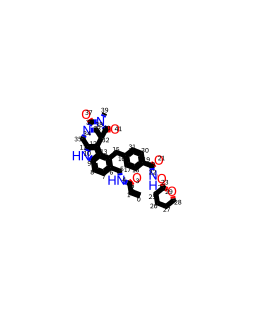 C=CC(=O)NCc1ccc2[nH]c3c(c2c1Cc1ccc(C(=O)NOC2CCCCO2)cc1)C1CN(C3)C(=O)N(C)C1=O